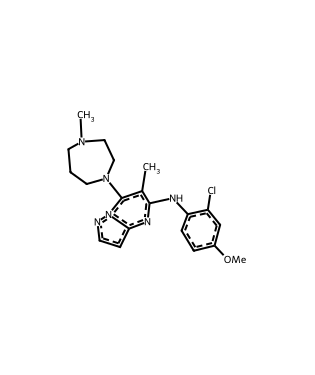 COc1ccc(Nc2nc3ccnn3c(N3CCCN(C)CC3)c2C)c(Cl)c1